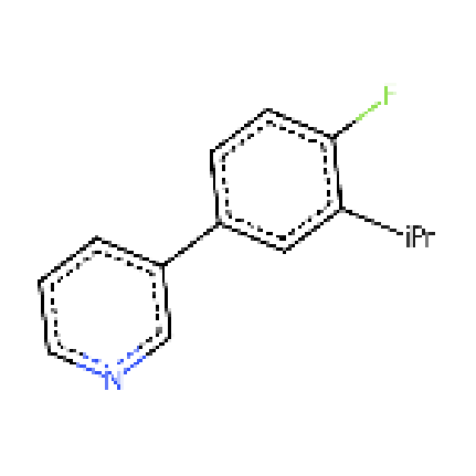 CC(C)c1cc(-c2cccnc2)ccc1F